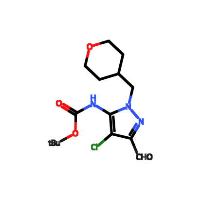 CC(C)(C)OC(=O)Nc1c(Cl)c(C=O)nn1CC1CCOCC1